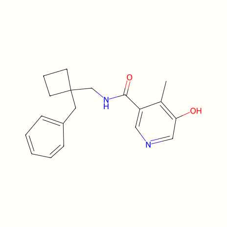 Cc1c(O)cncc1C(=O)NCC1(Cc2ccccc2)CCC1